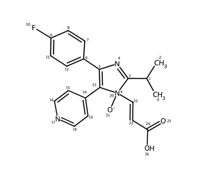 CC(C)C1=NC(c2ccc(F)cc2)=C(c2ccncc2)[N+]1([O-])/C=C/C(=O)O